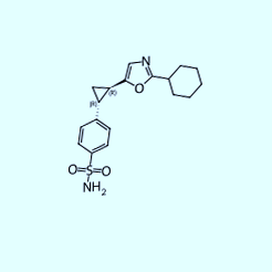 NS(=O)(=O)c1ccc([C@@H]2C[C@H]2c2cnc(C3CCCCC3)o2)cc1